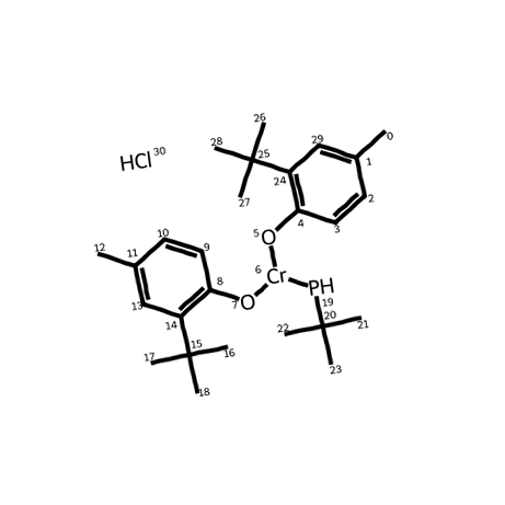 Cc1ccc([O][Cr]([O]c2ccc(C)cc2C(C)(C)C)[PH]C(C)(C)C)c(C(C)(C)C)c1.Cl